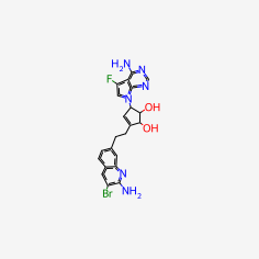 Nc1nc2cc(CCC3=CC(n4cc(F)c5c(N)ncnc54)C(O)C3O)ccc2cc1Br